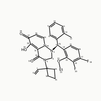 C=CC1(N2CN([C@@H](c3ccccc3C)c3ccc(F)c(F)c3OCC)n3ccc(=O)c(O)c3C2=O)CCC1